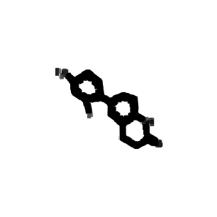 O=C1CCc2cc(-c3ccc(C(F)(F)F)cc3F)ccc2N1